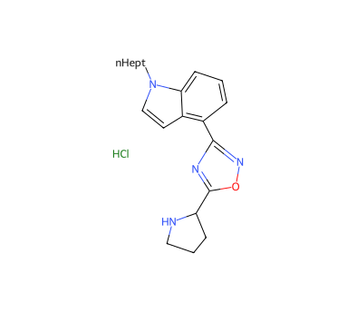 CCCCCCCn1ccc2c(-c3noc(C4CCCN4)n3)cccc21.Cl